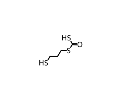 O=C(S)SCCCS